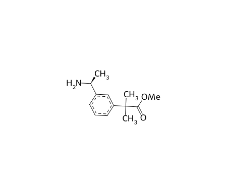 COC(=O)C(C)(C)c1cccc([C@H](C)N)c1